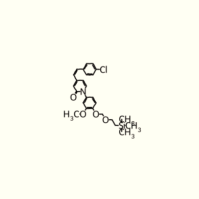 COc1cc(-n2ccc(/C=C\c3ccc(Cl)cc3)cc2=O)ccc1OCOCC[Si](C)(C)C